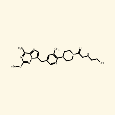 CCCCOc1nc(N)c2ncc(Cc3cnc(N4CCN(C(=O)CNCCO)CC4)c(C)c3)n2n1